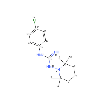 CC1(C)CCCC(C)(C)N1NC(=N)Nc1ccc(Cl)cc1